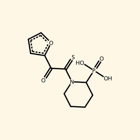 O=C(C(=S)N1CCCCC1P(=O)(O)O)c1ccco1